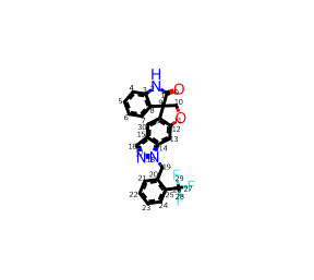 O=C1Nc2ccccc2C12COc1cc3c(cnn3Cc3ccccc3C(F)(F)F)cc12